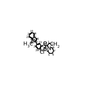 C=CC(N1CCCCC1)S(=O)(=O)c1cc(-c2cc3ccccc3n2C)ccc1Cl